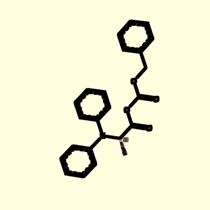 C[C@@H](C(=O)OC(=O)OCc1ccccc1)N(c1ccccc1)c1ccccc1